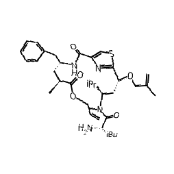 C=CCOC(=O)[C@@H](C)C[C@H](Cc1ccccc1)NC(=O)c1csc([C@@H](C[C@H](C(C)C)N(C)C(=O)[C@@H](N)[C@@H](C)CC)OCC(=C)C)n1